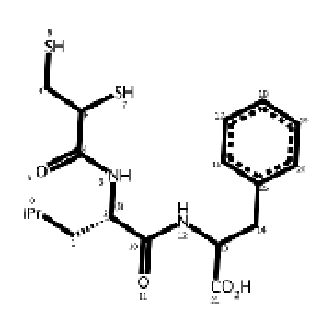 CC(C)C[C@H](NC(=O)C(S)CS)C(=O)NC(Cc1ccccc1)C(=O)O